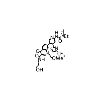 CCNC(=O)Nc1cc(-c2nc(C(F)(F)F)cs2)c(-c2ccc3c(=O)c(C(=O)NCCCO)cn(CCOC)c3c2)cn1